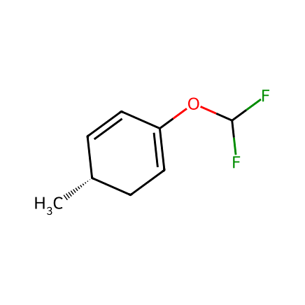 C[C@@H]1C=CC(OC(F)F)=CC1